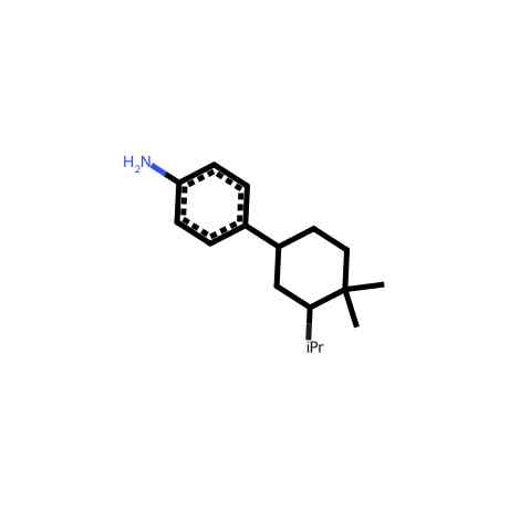 CC(C)C1CC(c2ccc(N)cc2)CCC1(C)C